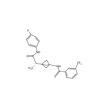 C[C@H](C(=O)Nc1ccc(F)cc1)C12CC(NC(=S)c3cccc(C(F)(F)F)c3)(C1)C2